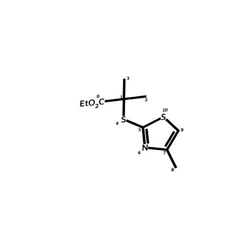 CCOC(=O)C(C)(C)Sc1nc(C)cs1